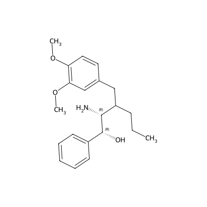 CCCC(Cc1ccc(OC)c(OC)c1)[C@@H](N)[C@H](O)c1ccccc1